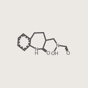 O=CN(O)CC1CCc2ccccc2NC1=O